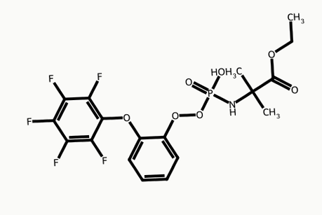 CCOC(=O)C(C)(C)NP(=O)(O)OOc1ccccc1Oc1c(F)c(F)c(F)c(F)c1F